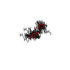 CSCC[C@H](NC(=O)[C@H](CCCCN)NC(=O)[C@H](CCCNC(=N)N)NC(=O)CNC(=O)[C@H](Cc1ccccc1)NC(=O)[C@H](CS)NC(=O)CNC(=O)[C@H](CO)NC(=O)CNC(=O)[C@H](CCC(N)=O)NC(=O)[C@@H](NC(=O)[C@H](CCSC)NC(=O)[C@H](CCCCN)NC(=O)[C@@H]1CCCN1C(=O)[C@@H](N)CO)C(C)C)C(=O)N[C@@H](CC(=O)O)C(=O)N[C@@H](CCCNC(=N)N)C(=O)O